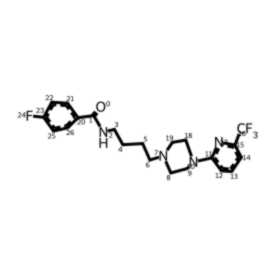 O=C(NCCCCN1CCN(c2cccc(C(F)(F)F)n2)CC1)c1ccc(F)cc1